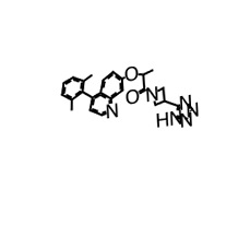 Cc1cccc(C)c1-c1ccnc2cc(OC(C)C(=O)N3CC(c4nnn[nH]4)C3)ccc12